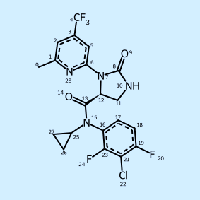 Cc1cc(C(F)(F)F)cc(N2C(=O)NC[C@H]2C(=O)N(c2ccc(F)c(Cl)c2F)C2CC2)n1